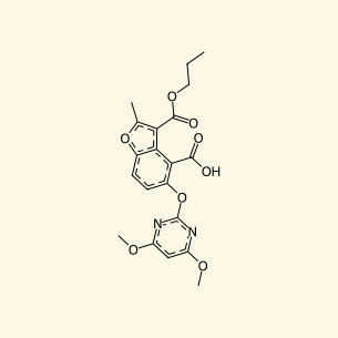 CCCOC(=O)c1c(C)oc2ccc(Oc3nc(OC)cc(OC)n3)c(C(=O)O)c12